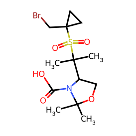 CC1(C)OCC(C(C)(C)S(=O)(=O)C2(CBr)CC2)N1C(=O)O